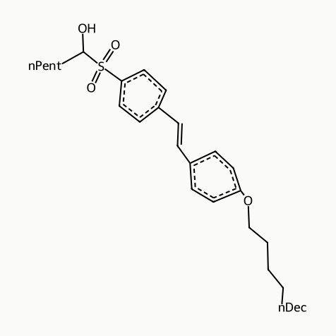 CCCCCCCCCCCCCCOc1ccc(C=Cc2ccc(S(=O)(=O)C(O)CCCCC)cc2)cc1